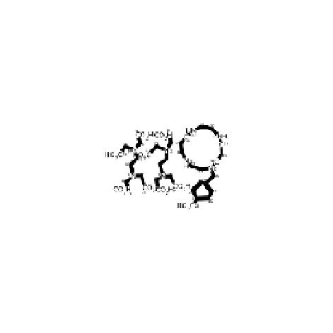 O=C(O)CN(CCN(CC(=O)O)CC(=O)O)CC(=O)O.O=C(O)CN(CCN(CC(=O)O)CC(=O)O)CC(=O)O.O=C(O)c1ccc(CN2CCCNCCNCCCNCC2)cc1